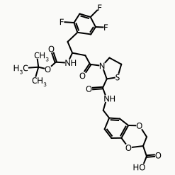 CC(C)(C)OC(=O)NC(CC(=O)N1CCSC1C(=O)NCc1ccc2c(c1)OCC(C(=O)O)O2)Cc1cc(F)c(F)cc1F